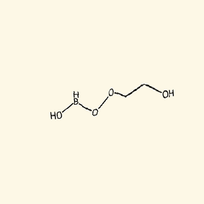 OBOOCCO